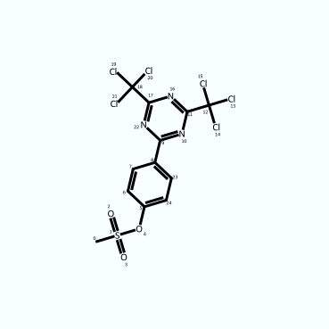 CS(=O)(=O)Oc1ccc(-c2nc(C(Cl)(Cl)Cl)nc(C(Cl)(Cl)Cl)n2)cc1